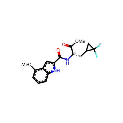 COC(=O)[C@H](CC1CC1(F)F)NC(=O)c1cc2c(OC)cccc2[nH]1